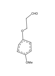 COc1ccc(OCCC=O)cc1